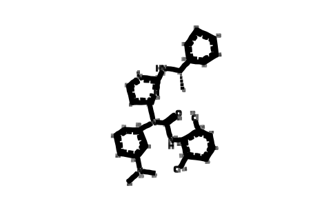 C[C@H](Nc1nccc(N(C(=O)Nc2c(Cl)cccc2Cl)c2cccc(N(C)C)c2)n1)c1ccccc1